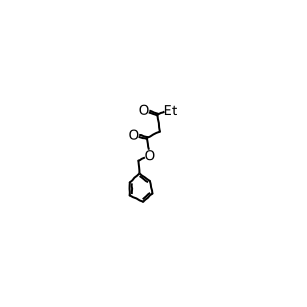 CCC(=O)CC(=O)OCc1ccccc1